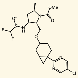 COC(=O)N1[C@H](C)C[C@H](N[S+]([O-])C(F)F)[C@@H]1COC1CCC2(c3ncc(Cl)cn3)CC2C1